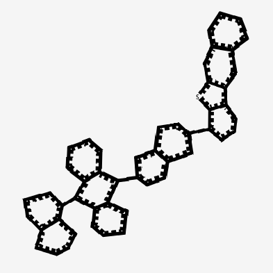 c1ccc2cc3c(cc2c1)sc1c(-c2ccc4cc(-c5c6ccccc6c(-c6cccc7ccccc67)c6ccccc56)ccc4c2)cccc13